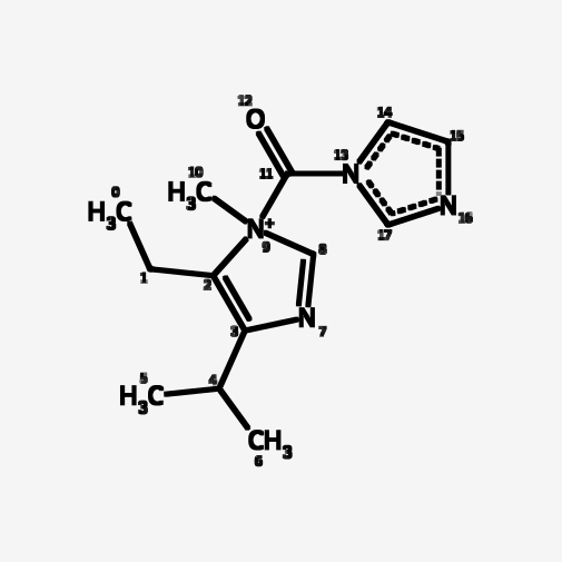 CCC1=C(C(C)C)N=C[N+]1(C)C(=O)n1ccnc1